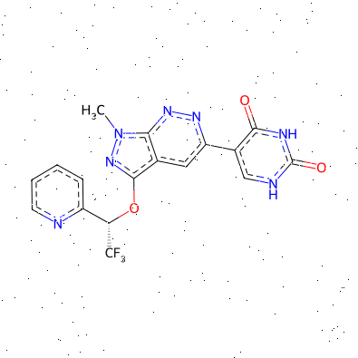 Cn1nc(O[C@@H](c2ccccn2)C(F)(F)F)c2cc(-c3c[nH]c(=O)[nH]c3=O)nnc21